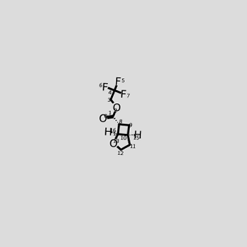 O=C(OCC(F)(F)F)[C@@H]1C[C@H]2CCO[C@H]21